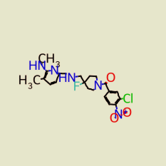 CNc1nc(CNCC2(F)CCN(C(=O)c3ccc([N+](=O)[O-])c(Cl)c3)CC2)ccc1C